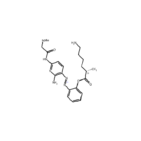 CNCC(=O)Nc1ccc(/N=N/c2ccccc2OC(=O)[C@@H](C)CCCCN)c(N)n1